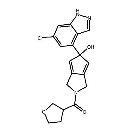 O=C(C1CCOC1)N1CC2=CC(O)(c3cc(Cl)cc4[nH]ncc34)C=C2C1